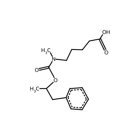 CC(Cc1ccccc1)OC(=O)N(C)CCCCC(=O)O